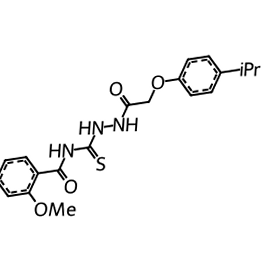 COc1ccccc1C(=O)NC(=S)NNC(=O)COc1ccc(C(C)C)cc1